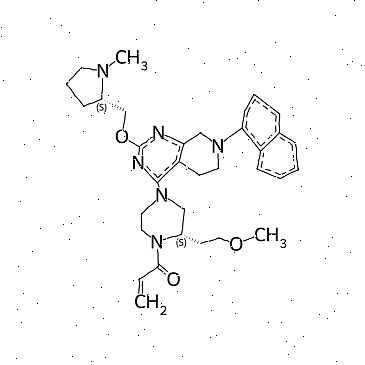 C=CC(=O)N1CCN(c2nc(OC[C@@H]3CCCN3C)nc3c2CCN(c2cccc4ccccc24)C3)C[C@@H]1CCOC